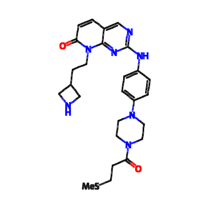 CSCCC(=O)N1CCN(c2ccc(Nc3ncc4ccc(=O)n(CCC5CNC5)c4n3)cc2)CC1